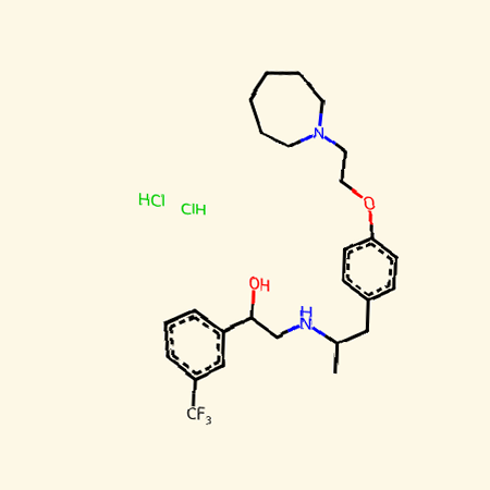 CC(Cc1ccc(OCCN2CCCCCC2)cc1)NCC(O)c1cccc(C(F)(F)F)c1.Cl.Cl